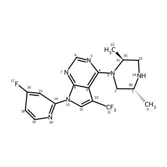 C[C@@H]1CN(c2ncnc3c2c(C(F)(F)F)cn3-c2cc(F)ccn2)[C@@H](C)CN1